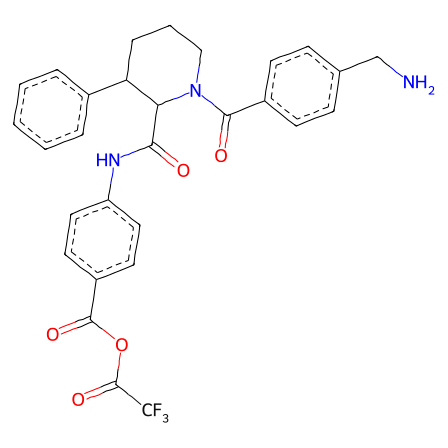 NCc1ccc(C(=O)N2CCCC(c3ccccc3)C2C(=O)Nc2ccc(C(=O)OC(=O)C(F)(F)F)cc2)cc1